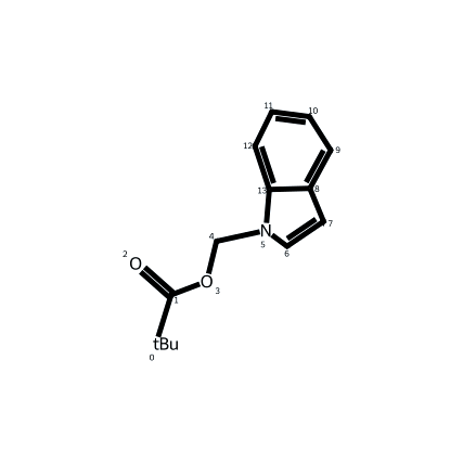 CC(C)(C)C(=O)OCn1c[c]c2ccccc21